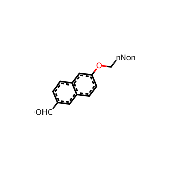 CCCCCCCCCCOc1ccc2cc([C]=O)ccc2c1